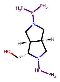 OC[C@@H]1[C@H]2CN(P(P)P)C[C@H]2CN1PP